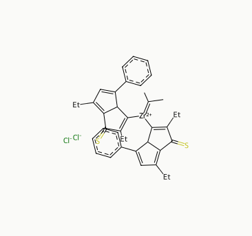 CCC1=C2C(=S)C(CC)=[C]([Zr+2]([C]3=C(CC)C(=S)C4=C(CC)C=C(c5ccccc5)C43)=[C](C)C)C2C(c2ccccc2)=C1.[Cl-].[Cl-]